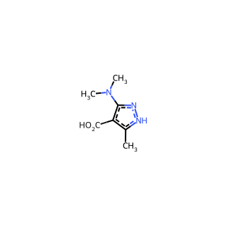 Cc1[nH]nc(N(C)C)c1C(=O)O